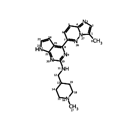 Cc1cnc2ccc(-c3nc(NCC4CCN(C)CC4)nc4[nH]ccc34)nn12